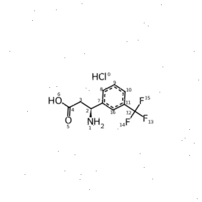 Cl.N[C@@H](CC(=O)O)c1cccc(C(F)(F)F)c1